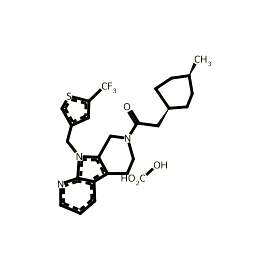 C[C@H]1CC[C@@H](CC(=O)N2CCc3c(n(Cc4csc(C(F)(F)F)c4)c4ncccc34)C2)CC1.O=C(O)O